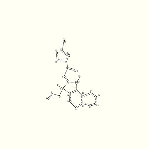 C=CCC1(C)/C(=C/C(=O)c2ccc(Br)o2)N(C)c2c1ccc1ccccc21